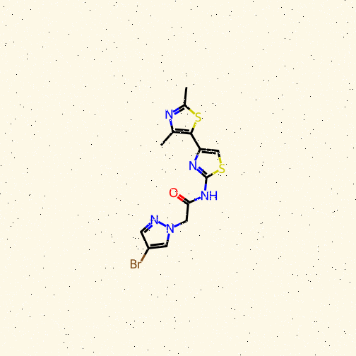 Cc1nc(C)c(-c2csc(NC(=O)Cn3cc(Br)cn3)n2)s1